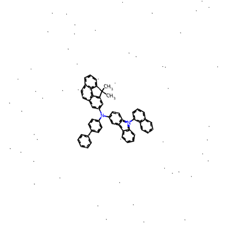 CC1(C)c2cccc3ccc4cc(N(c5ccc(-c6ccccc6)cc5)c5ccc6c(c5)c5ccccc5n6-c5cccc6ccccc56)cc1c4c23